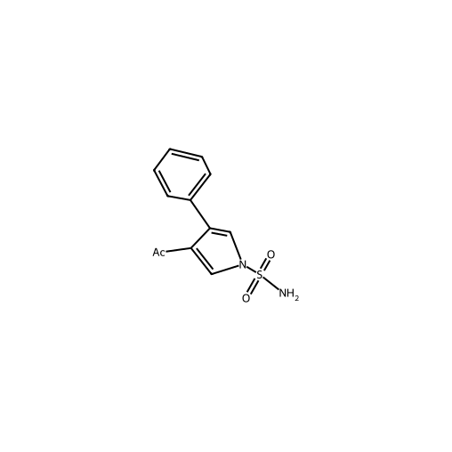 CC(=O)c1cn(S(N)(=O)=O)cc1-c1ccccc1